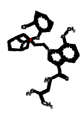 COc1cccc2c(C(=O)NCC(C)C)cn(CCCN3C4CCC3CC(Oc3ccccc3Cl)C4)c12